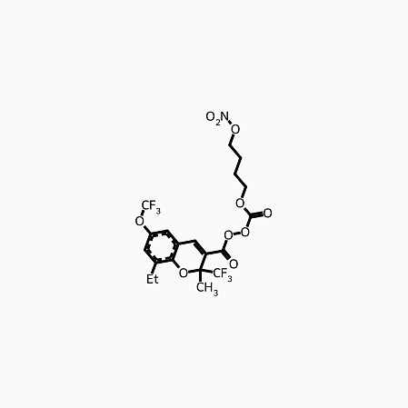 CCc1cc(OC(F)(F)F)cc2c1OC(C)(C(F)(F)F)C(C(=O)OOC(=O)OCCCCO[N+](=O)[O-])=C2